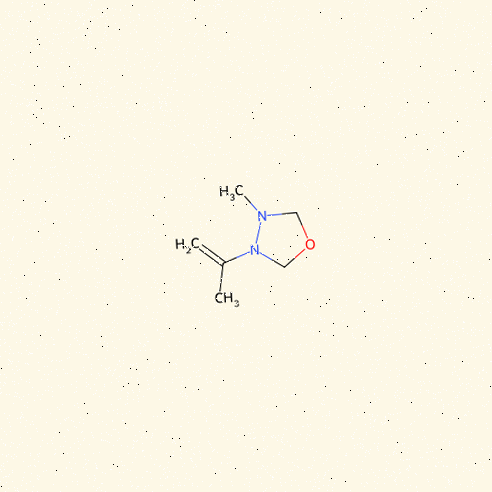 C=C(C)N1COCN1C